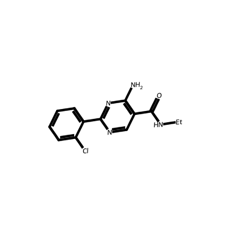 CCNC(=O)c1cnc(-c2ccccc2Cl)nc1N